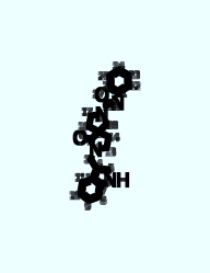 O=C1N(Cc2c[nH]c3ccccc23)CCC12CCN(c1nc3ccccc3o1)C2